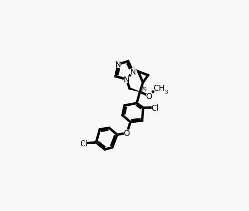 CO[C@](Cn1cncn1)(c1ccc(Oc2ccc(Cl)cc2)cc1Cl)C1CC1